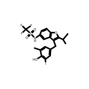 CC(C)c1oc2ccc(NS(=O)(=O)C(F)(F)F)cc2c1Cc1cc(I)c(O)c(I)c1